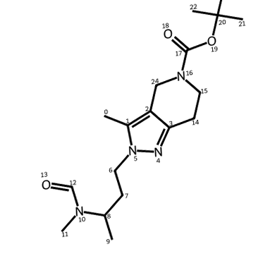 Cc1c2c(nn1CCC(C)N(C)C=O)CCN(C(=O)OC(C)(C)C)C2